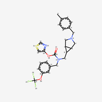 Cc1ccc(CN2CC3C(C2)C3CN(Cc2cccc(OC(F)(F)F)c2)C(=O)Oc2cscn2)cc1